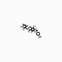 CCc1c2c(c(C)c3c1OC(C)([C@H]1CC[C@H](N(C)C)CC1)O3)C(=O)N(Cc1c(C)cc(C)[nH]c1=O)CC2